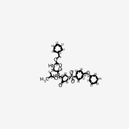 CC(C)C[C@H](NC(=O)OCc1ccccc1)C(=O)NC1CN(S(=O)(=O)c2ccc(Oc3ccccc3)cc2)CC1=O